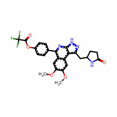 COc1cc2c(-c3ccc(OC(=O)C(F)(F)F)cc3)nc3[nH]nc(CC4CCC(=O)N4)c3c2cc1OC